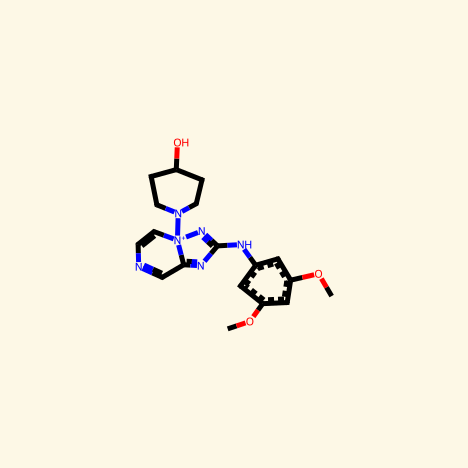 COc1cc(NC2=N[N+]3(N4CCC(O)CC4)C=CN=CC3=N2)cc(OC)c1